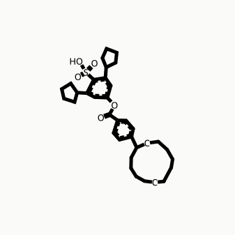 O=C(Oc1cc(C2CCCC2)c(S(=O)(=O)O)c(C2CCCC2)c1)c1ccc(C2CCCCCCCCCCC2)cc1